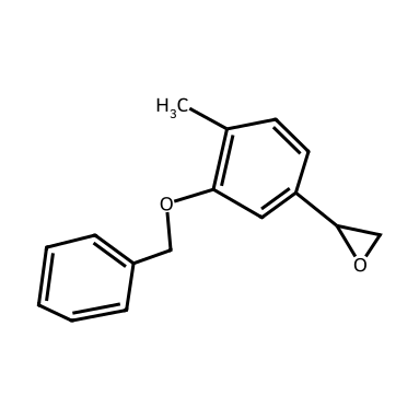 Cc1ccc(C2CO2)cc1OCc1ccccc1